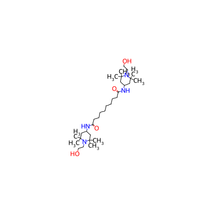 CC1(C)CC(NC(=O)CCCCCCCCC(=O)NC2CC(C)(C)N(CCO)C(C)(C)C2)CC(C)(C)N1CCO